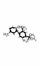 Cc1cc[n+](C)c(-c2ccc(C(C)(C)C)cc2C)c1